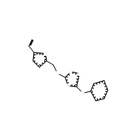 O=Cc1ccc(CSc2nnc(Nc3ccccc3)[nH]2)o1